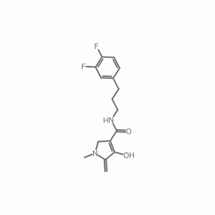 C=C1C(O)=C(C(=O)NCCCc2ccc(F)c(F)c2)CN1C